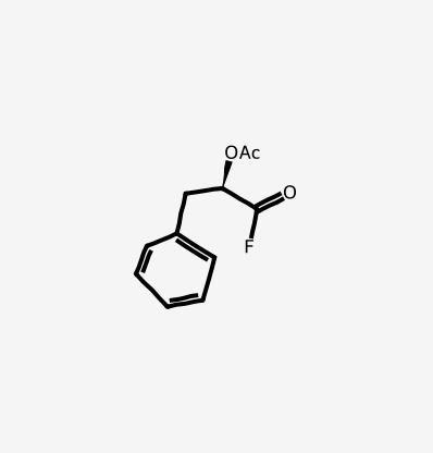 CC(=O)O[C@H](Cc1ccccc1)C(=O)F